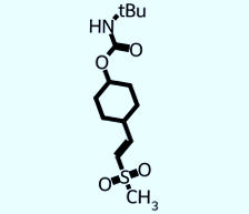 CC(C)(C)NC(=O)OC1CCC(C=CS(C)(=O)=O)CC1